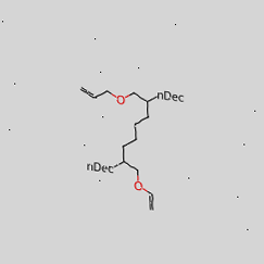 C=CCOCC(CCCCCCCCCC)CCCCC(CCCCCCCCCC)COC=C